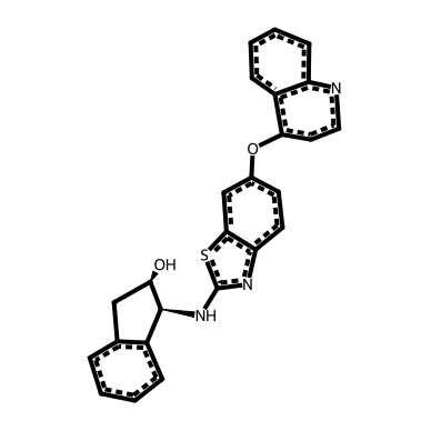 O[C@@H]1Cc2ccccc2[C@@H]1Nc1nc2ccc(Oc3ccnc4ccccc34)cc2s1